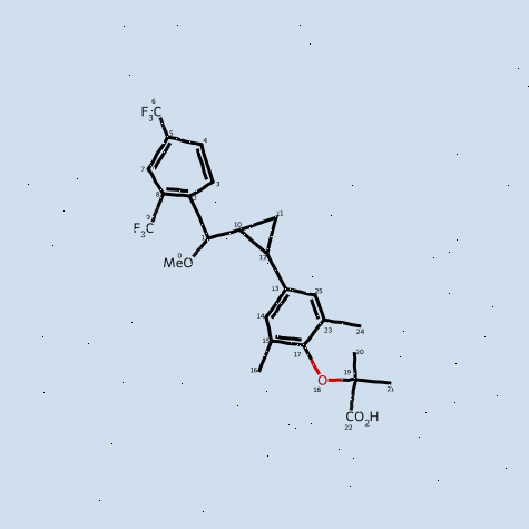 COC(c1ccc(C(F)(F)F)cc1C(F)(F)F)C1CC1c1cc(C)c(OC(C)(C)C(=O)O)c(C)c1